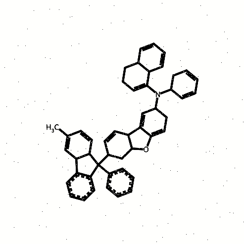 CC1=CC2c3ccccc3C(c3ccccc3)(C3C=CC4C5=CC(N(C6=CCCC7C=CC=CC67)C6C=CC=CC6)CC=C5OC4C3)C2C=C1